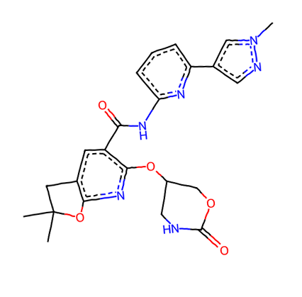 Cn1cc(-c2cccc(NC(=O)c3cc4c(nc3OC3CNC(=O)OC3)OC(C)(C)C4)n2)cn1